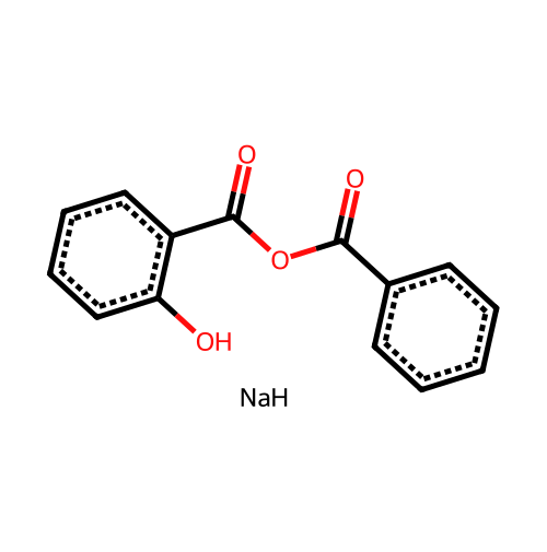 O=C(OC(=O)c1ccccc1O)c1ccccc1.[NaH]